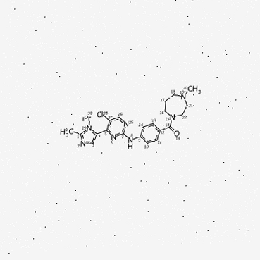 Cc1ncc(-c2nc(Nc3ccc(C(=O)N4CCCN(C)CC4)cc3)ncc2Cl)n1C(C)C